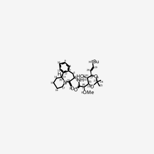 CO[C@@H](C(=O)N[C@H]1Cc2ccccc2[C@H]2CCCCN2C1=O)[C@@H]1OC(C)(C)O[C@H](C=CC(C)(C)C)[C@@H]1O